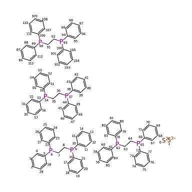 [S-2].[S-2].c1ccc(P(CCP(c2ccccc2)c2ccccc2)c2ccccc2)cc1.c1ccc(P(CCP(c2ccccc2)c2ccccc2)c2ccccc2)cc1.c1ccc(P(CCP(c2ccccc2)c2ccccc2)c2ccccc2)cc1.c1ccc(P(CCP(c2ccccc2)c2ccccc2)c2ccccc2)cc1